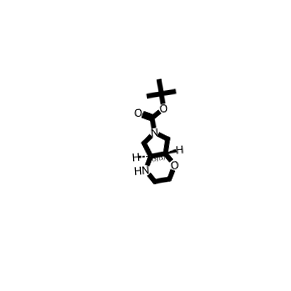 CC(C)(C)OC(=O)N1C[C@@H]2NCCO[C@H]2C1